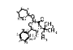 CCC(ON(OC1CCCCO1)C(=O)OC(C)(C)C)c1ccccc1